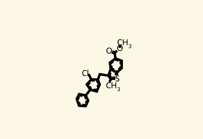 COC(=O)c1ccc2sc(C)c(Cc3ccc(-c4ccccc4)cc3Cl)c2c1